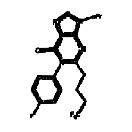 CCCn1cnc2c(=O)n(-c3ccc(F)cc3)c(CCCC(F)(F)F)nc21